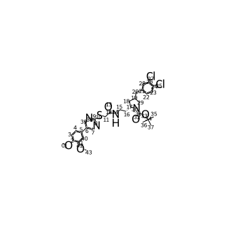 COc1ccc(-c2cnc(SCC(=O)NCC[C@@H]3C[C@@H](Cc4ccc(Cl)c(Cl)c4)CN3C(=O)OC(C)(C)C)nc2)cc1OC